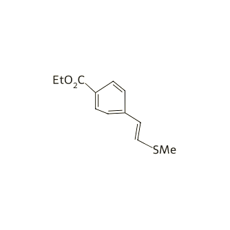 CCOC(=O)c1ccc(C=CSC)cc1